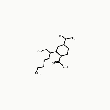 CCCCCC(CC)C1CC(C(C)Br)CCN1C(=O)O